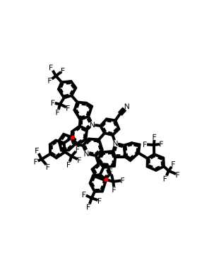 N#Cc1cc(-n2c3ccc(-c4ccc(C(F)(F)F)cc4C(F)(F)F)cc3c3cc(-c4ccc(C(F)(F)F)cc4C(F)(F)F)ccc32)c(-c2cc(-c3ccccc3)nc(-c3ccccc3)c2)c(-n2c3ccc(-c4ccc(C(F)(F)F)cc4C(F)(F)F)cc3c3cc(-c4ccc(C(F)(F)F)cc4C(F)(F)F)ccc32)c1